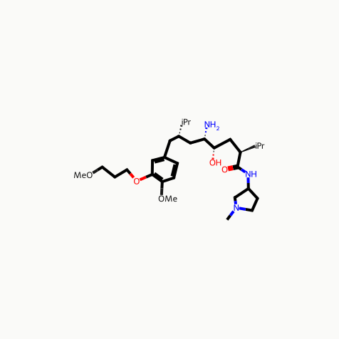 COCCCOc1cc(C[C@@H](C[C@H](N)[C@@H](O)C[C@H](C(=O)NC2CCN(C)C2)C(C)C)C(C)C)ccc1OC